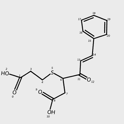 O=C(O)CCSC(CC(=O)O)C(=O)C=Cc1ccccc1